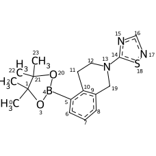 CC1(C)OB(c2cccc3c2CCN(c2ncns2)C3)OC1(C)C